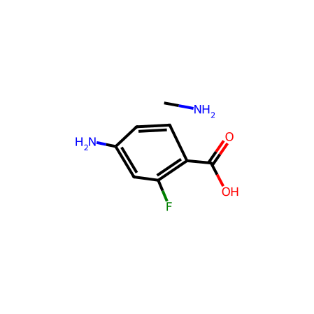 CN.Nc1ccc(C(=O)O)c(F)c1